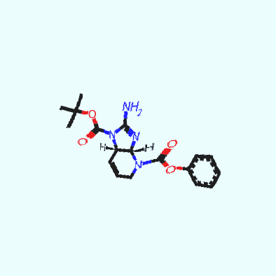 CC(C)(C)OC(=O)N1C(N)=N[C@H]2[C@@H]1C=CCN2C(=O)Oc1ccccc1